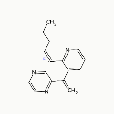 C=C(c1cnccn1)c1cccnc1/[C]=C\CCC